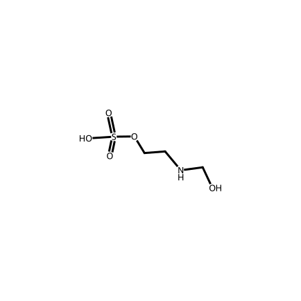 O=S(=O)(O)OCCNCO